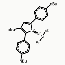 CCCCC1=C(c2ccc(CCCC)cc2)[N+](=[N-])C(c2ccc(CCCC)cc2)=C1.C[CH2][Ni][CH2]C